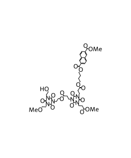 COCCn1c(=O)n(CCO)c(=O)n(CCOC(=O)CCn2c(=O)n(CCC(=O)OC)c(=O)n(CCC(=O)OCCCCOC(=O)c3ccc4cc(C(=O)OC)ccc4c3)c2=O)c1=O